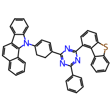 C1=C(c2nc(-c3ccccc3)nc(-c3cccc4sc5ccccc5c34)n2)CCC(n2c3ccccc3c3ccc4ccccc4c32)=C1